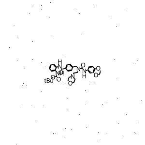 CC(C)(C)OC(=O)Nc1ccccc1NC(=O)c1ccc(CN(CCN2CCOCC2)C(=O)Nc2ccc3c(c2)OCCO3)cc1